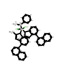 CC1=Cc2c(-c3cccc4ccccc34)cccc2[CH]1[Zr]([Cl])([Cl])([CH]1C(C)=Cc2c(-c3cccc4ccccc34)cccc21)[SiH](C)c1ccccc1